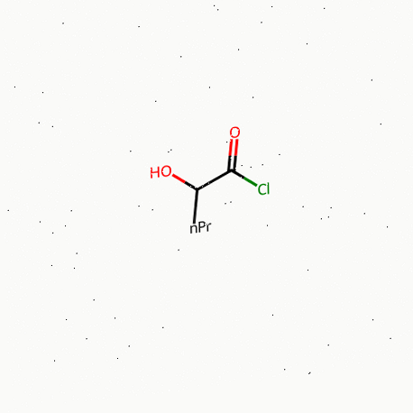 CCCC(O)C(=O)Cl